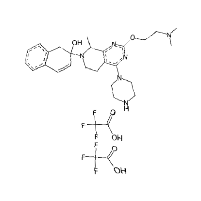 CC1c2nc(OCCN(C)C)nc(N3CCNCC3)c2CCN1C1(O)C=Cc2ccccc2C1.O=C(O)C(F)(F)F.O=C(O)C(F)(F)F